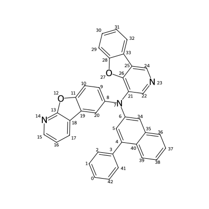 c1ccc(-c2cc(N(c3ccc4oc5ncccc5c4c3)c3cncc4c3oc3ccccc34)cc3ccccc23)cc1